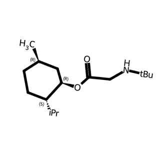 CC(C)[C@@H]1CC[C@@H](C)C[C@H]1OC(=O)CNC(C)(C)C